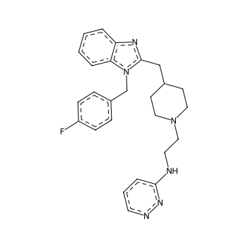 Fc1ccc(Cn2c(CC3CCN(CCNc4cccnn4)CC3)nc3ccccc32)cc1